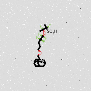 CC(F)(OC(F)(F)C(F)(F)CCCOCC12CC3CC(CC(C3)C1)C2)C(C)(F)S(=O)(=O)O